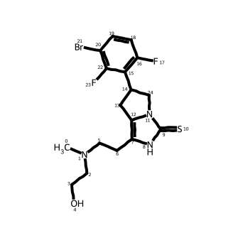 CN(CCO)CCc1[nH]c(=S)n2c1CC(c1c(F)ccc(Br)c1F)C2